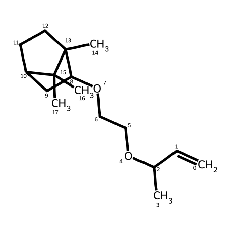 C=CC(C)OCCOC1CC2CCC1(C)C2(C)C